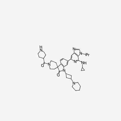 CC(C)n1cnc2cc(-c3ccc4c(c3)N(C3CC(N5CCCCC5)C3)C(=O)C43CCN(C(=O)C4CCNCC4)CC3)nc(NC3CC3)c21